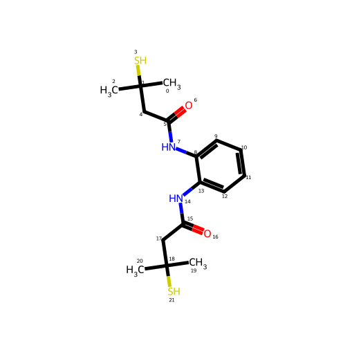 CC(C)(S)CC(=O)Nc1ccccc1NC(=O)CC(C)(C)S